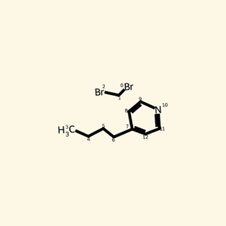 BrCBr.CCCCc1ccncc1